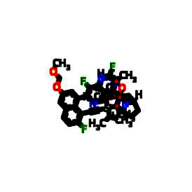 COCOc1cc(-c2ncc3c(N4C[C@H]5CC[C@@H](C4)N5C(=O)OC(C)(C)C)nc(F)nc3c2F)c2c(C#C[Si](C(C)C)(C(C)C)C(C)C)c(F)ccc2c1